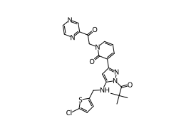 CC(C)(C)C(=O)n1nc(-c2cccn(CC(=O)c3cnccn3)c2=O)cc1NCc1ccc(Cl)s1